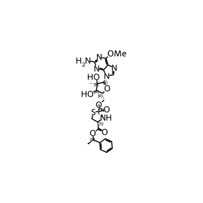 COc1nc(N)nc2c1ncn2[C@@H]1O[C@H](CO[P@@]2(=O)N[C@@H](C(=O)O[C@H](C)c3ccccc3)CS2)[C@@H](O)[C@@]1(C)O